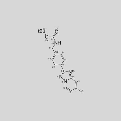 Cc1ccn2nc(-c3ccc(CNC(=O)OC(C)(C)C)cc3)nc2c1